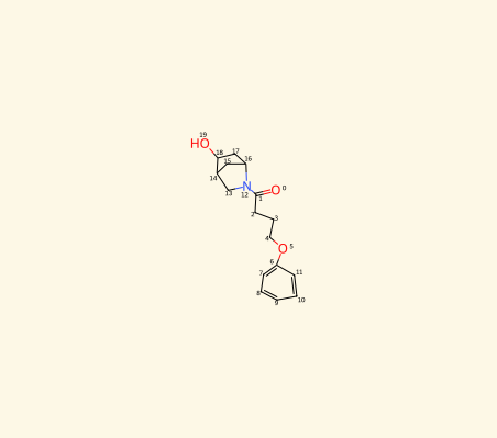 O=C(CCCOc1ccccc1)N1CC2CC1CC2O